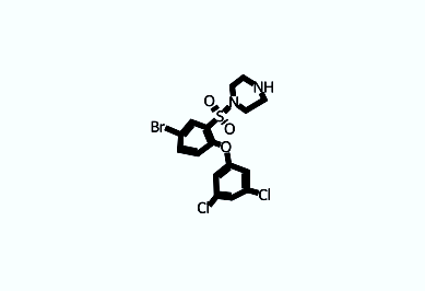 O=S(=O)(c1cc(Br)ccc1Oc1cc(Cl)cc(Cl)c1)N1CCNCC1